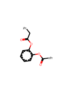 CCCC(=O)Oc1ccccc1OC(=O)CC(C)C